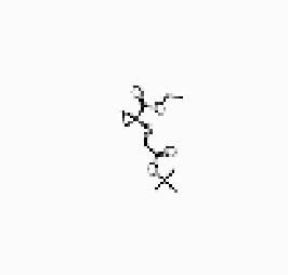 CCOC(=O)C1(SCC(=O)OC(C)(C)C)CC1